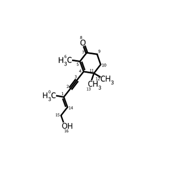 CC(C#CC1=C(C)C(=O)CCC1(C)C)=CCO